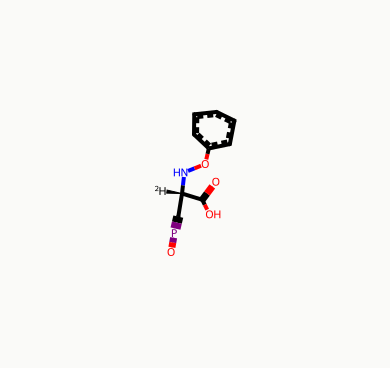 [2H][C@@](C#P=O)(NOc1ccccc1)C(=O)O